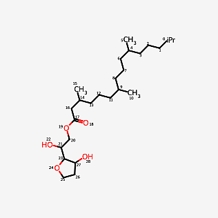 CC(C)CCCC(C)CCCC(C)CCCC(C)CC(=O)OCC(O)C1OCCC1O